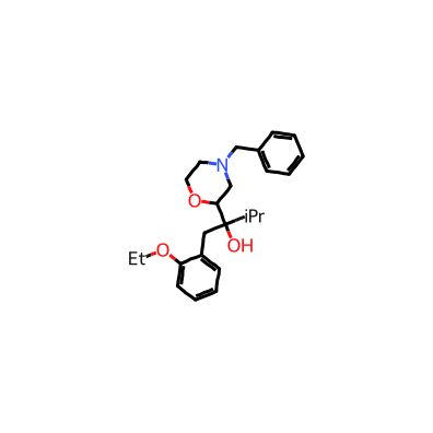 CCOc1ccccc1CC(O)(C(C)C)C1CN(Cc2ccccc2)CCO1